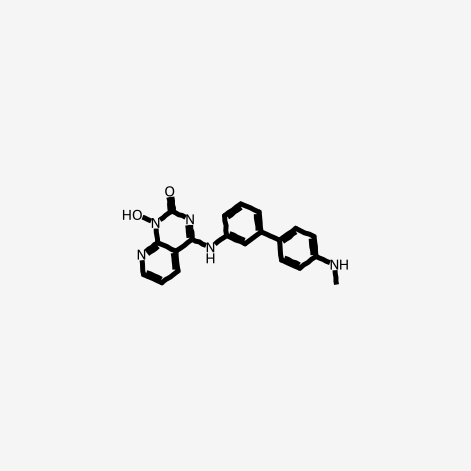 CNc1ccc(-c2cccc(Nc3nc(=O)n(O)c4ncccc34)c2)cc1